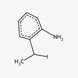 CC(I)c1ccccc1N